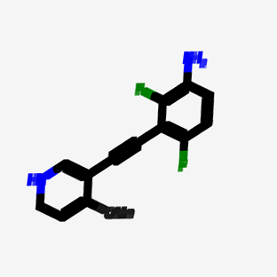 COC1=CCNC=C1C#Cc1c(F)ccc(N)c1F